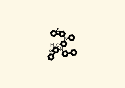 Cc1cc(N(c2ccccc2)c2ccc3sc4ccccc4c3c2)ccc1N(c1cccc(-c2ccccc2)c1)c1ccc2sc3ccccc3c2c1